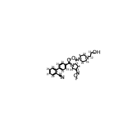 CON=C1C[C@@H](C(=O)N2CCN(CCO)CC2)N(C(=O)c2ccc(-c3ccccc3C#N)cc2)C1